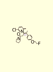 C=C1C=CC(Cl)=CN1/C(CC(=O)N1CCCC1)=C(\C)c1ccc(OCCF)cc1